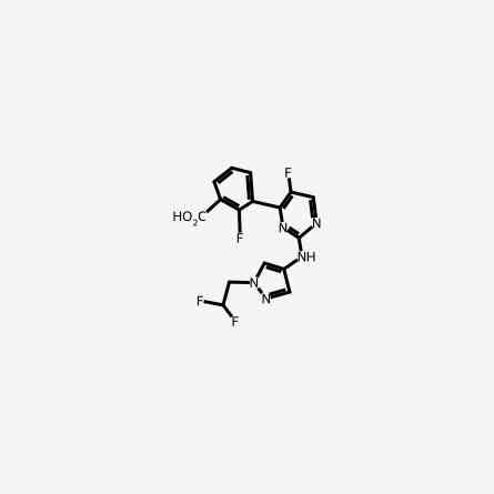 O=C(O)c1cccc(-c2nc(Nc3cnn(CC(F)F)c3)ncc2F)c1F